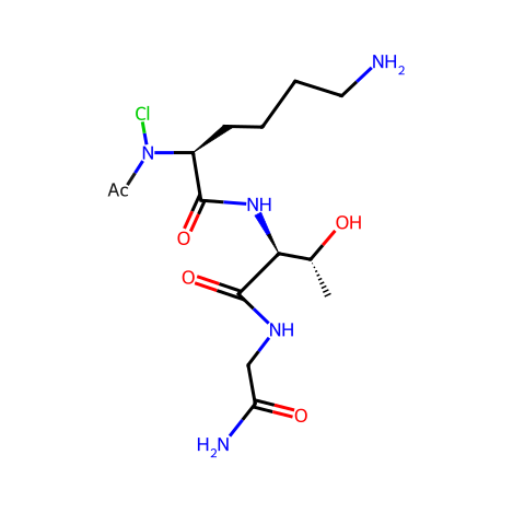 CC(=O)N(Cl)[C@@H](CCCCN)C(=O)N[C@H](C(=O)NCC(N)=O)[C@@H](C)O